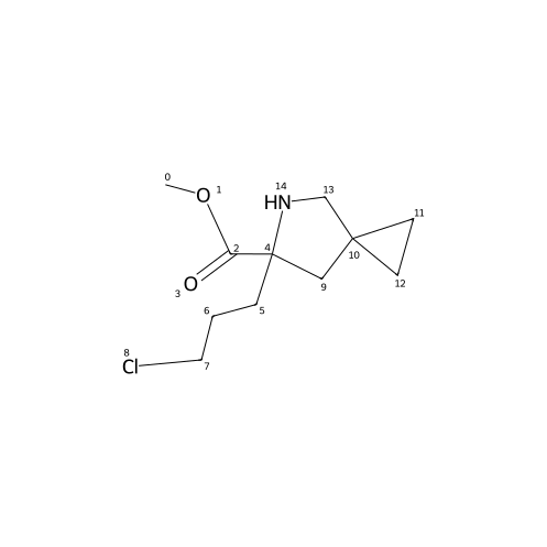 COC(=O)C1(CCCCl)CC2(CC2)CN1